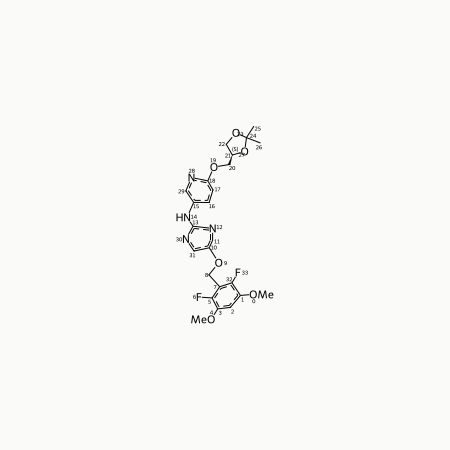 COc1cc(OC)c(F)c(COc2cnc(Nc3ccc(OC[C@H]4COC(C)(C)O4)nc3)nc2)c1F